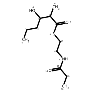 CCCC(O)C(C)C(=O)SCCNC(=O)CC